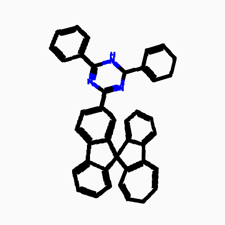 C1=CC2=C(C=CC1)C1(c3ccccc32)c2ccccc2-c2ccc(C3=NC(C4=CCCC=C4)NC(c4ccccc4)=N3)cc21